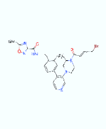 Cc1cc(-c2ccncc2N2CCN(C(=O)C=CCBr)C(C(F)(F)F)C2)ccc1CNC(=O)c1noc(C(C)(C)C)n1